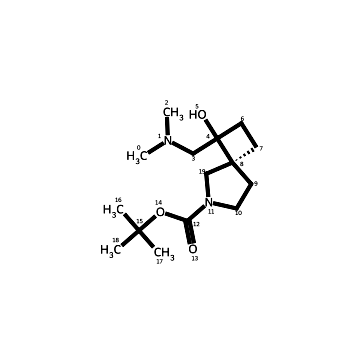 CN(C)CC1(O)CC[C@@]12CCN(C(=O)OC(C)(C)C)C2